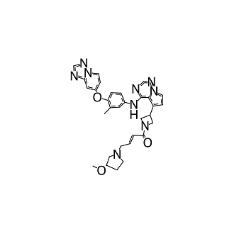 COC1CCN(C/C=C/C(=O)N2CC(c3ccn4ncnc(Nc5ccc(Oc6ccn7ncnc7c6)c(C)c5)c34)C2)C1